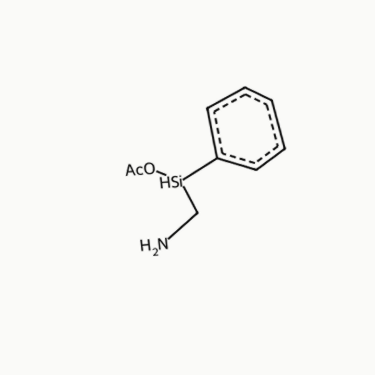 CC(=O)O[SiH](CN)c1ccccc1